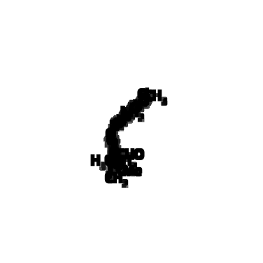 C=CCCC(C(=O)NC)N(C)C(=C)c1ccc(N2CCC(OCCN3CCN(C(/C=C\CC4CCN(c5ccc(C)c(Cl)c5)CC4)=C/N)CC3)CC2)cc1C=O